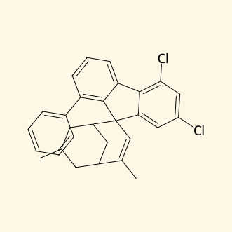 CC1=CC2(c3cc(Cl)cc(Cl)c3-c3cccc(-c4ccccc4)c32)C2CC(C)CC1C2